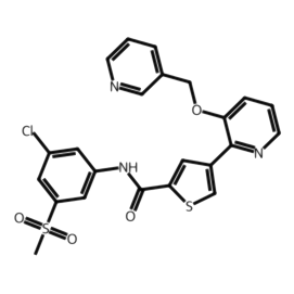 CS(=O)(=O)c1cc(Cl)cc(NC(=O)c2cc(-c3ncccc3OCc3cccnc3)cs2)c1